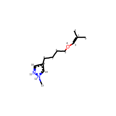 CC(C)=COCCCCc1cnn(C)c1